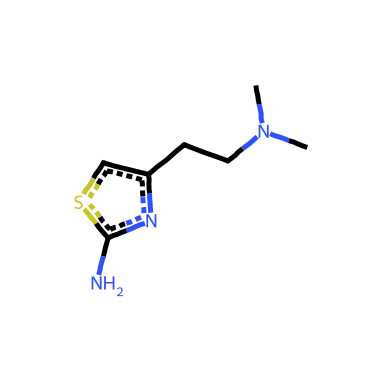 CN(C)CCc1csc(N)n1